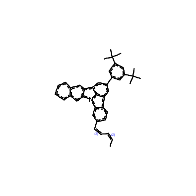 C/C=C\C=C/c1ccc2c3cc(-c4cc(C(C)(C)C)cc(C(C)(C)C)c4)cc4c5cc6ccccc6cc5n(c2c1)c34